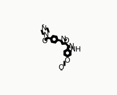 COCCOc1ccc2c(-c3cc(-c4ccc(C(=O)N5CCN(C)CC5)cc4)no3)n[nH]c2c1